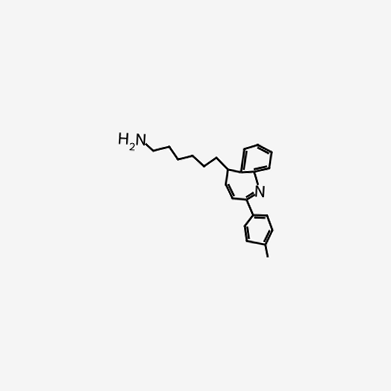 Cc1ccc(C2=Nc3ccccc3C(CCCCCCN)C=C2)cc1